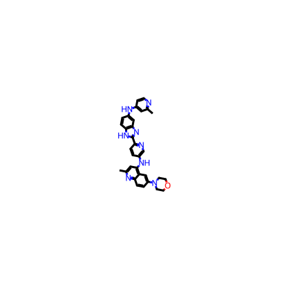 Cc1cc(Nc2ccc3[nH]c(-c4ccc(Nc5cc(C)nc6ccc(N7CCOCC7)cc56)cn4)nc3c2)ccn1